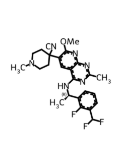 COc1nc2nc(C)nc(N[C@H](C)c3cccc(C(F)F)c3F)c2cc1C1(C#N)CCN(C)CC1